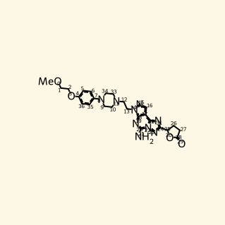 COCCOc1ccc(N2CCN(CCn3ncc4c3nc(N)n3nc(C5CCC(=O)O5)nc43)CC2)cc1